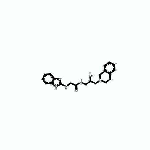 O=C(CNc1nc2ccccc2[nH]1)NCC(O)CN1CCc2ccccc2C1